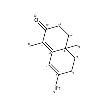 CC1=C2C=C(C(C)C)CCC2(C)CCC1=O